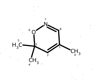 CC1=CC(C)(C)ON=C1